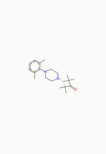 Cc1cccc(C)c1N1CCN(C2C(C)(C)C(=O)C2(C)C)CC1